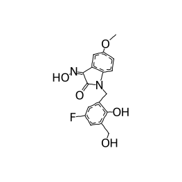 COc1ccc2c(c1)/C(=N/O)C(=O)N2Cc1cc(F)cc(CO)c1O